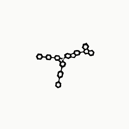 c1ccc(-c2ccc(-c3ccc4c(c3)c3cc(-c5ccc(-c6ccccc6)cc5)ccc3n4-c3ccc4c(c3)Cc3cc(-c5cc6ccccc6c6ccccc56)ccc3-4)cc2)cc1